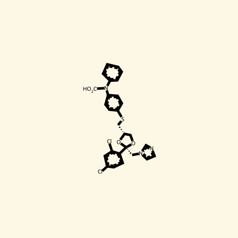 O=C(O)N(c1ccccc1)c1ccc(SC[C@@H]2CO[C@@](Cn3ccnc3)(c3ccc(Cl)cc3Cl)O2)cc1